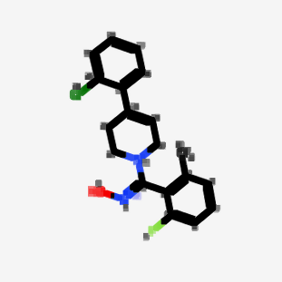 O/N=C(/c1c(F)cccc1C(F)(F)F)N1CC=C(c2ccccc2Cl)CC1